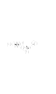 COc1ccc(CCNCC(O)COc2ccc(-c3nc(CO)c[nH]3)cc2)cc1OC